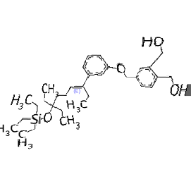 CC/C(=C\CCC(CC)(CC)O[Si](CC)(CC)CC)c1cccc(OCc2ccc(CO)c(CO)c2)c1